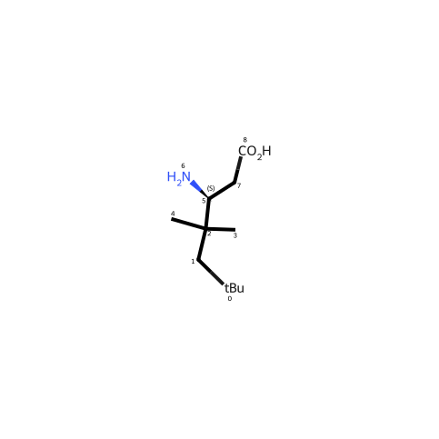 CC(C)(C)CC(C)(C)[C@@H](N)CC(=O)O